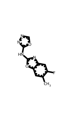 Cc1cc2oc(Nc3nnco3)nc2cc1F